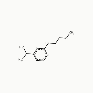 COCCNc1nccc(C(C)C)n1